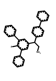 NCC(c1ccc(-c2ccccc2)cc1)c1cc(-c2ccccc2)c(F)c(-c2ccccc2)c1